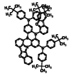 CC(C)(C)c1ccc(N(c2ccc(C(C)(C)C)cc2)c2ccc3c(c2)N(c2cccc4c2oc2cc(C(C)(C)C)ccc24)c2cc(N(c4ccc(C(C)(C)C)cc4)c4ccc(C(C)(C)C)cc4)cc4c2B3c2cccc3c5oc6ccccc6c5n-4c23)cc1